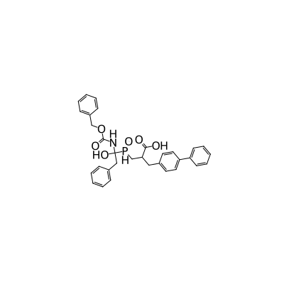 O=C(NC(O)(Cc1ccccc1)[PH](=O)CC(Cc1ccc(-c2ccccc2)cc1)C(=O)O)OCc1ccccc1